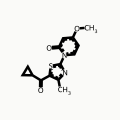 COc1ccn(-c2nc(C)c(C(=O)C3CC3)s2)c(=O)c1